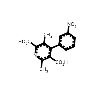 Cc1nc(C(=O)O)c(C)c(-c2cccc([N+](=O)[O-])c2)c1C(=O)O